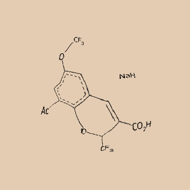 CC(=O)c1cc(OC(F)(F)F)cc2c1OC(C(F)(F)F)C(C(=O)O)=C2.[NaH]